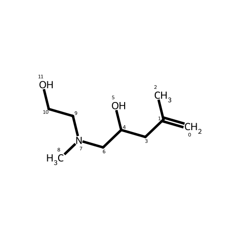 C=C(C)CC(O)CN(C)CCO